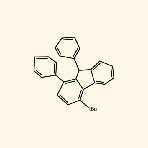 CC(C)(C)c1ccc(-c2ccccc2)c2c1-c1ccccc1C2c1ccccc1